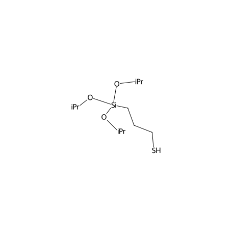 CC(C)O[Si](CCCS)(OC(C)C)OC(C)C